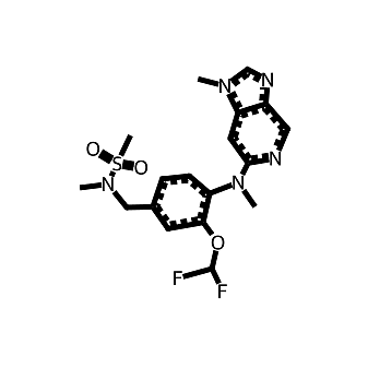 CN(c1cc2c(cn1)ncn2C)c1ccc(CN(C)S(C)(=O)=O)cc1OC(F)F